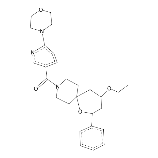 CCOC1CC(c2ccccc2)OC2(CCN(C(=O)c3ccc(N4CCOCC4)nc3)CC2)C1